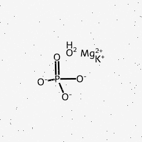 O.O=P([O-])([O-])[O-].[K+].[Mg+2]